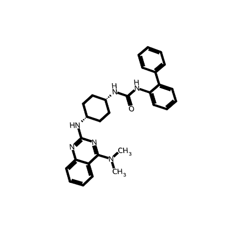 CN(C)c1nc(N[C@H]2CC[C@@H](NC(=O)Nc3ccccc3-c3ccccc3)CC2)nc2ccccc12